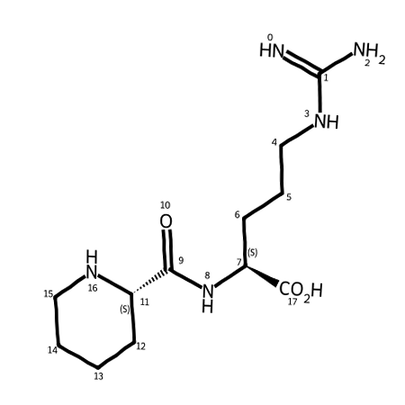 N=C(N)NCCC[C@H](NC(=O)[C@@H]1CCCCN1)C(=O)O